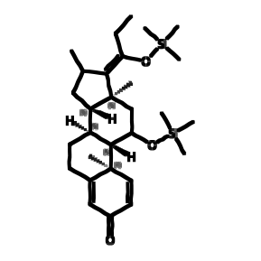 CCC(O[Si](C)(C)C)=C1C(C)C[C@H]2[C@@H]3CCC4=CC(=O)C=C[C@]4(C)[C@H]3C(O[Si](C)(C)C)C[C@]12C